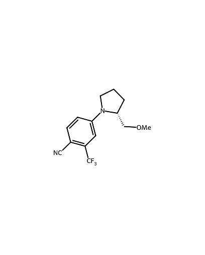 COC[C@H]1CCCN1c1ccc(C#N)c(C(F)(F)F)c1